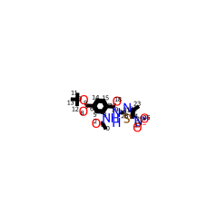 CC(=O)Nc1cc(C(=O)OC(C)(C)C)ccc1C(=O)Nc1nc(C)c([N+](=O)[O-])s1